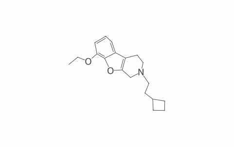 CCOc1cccc2c3c(oc12)CN(CCC1CCC1)CC3